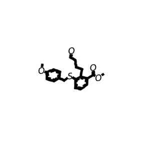 COC(=O)c1cccc(SCc2ccc(OC)cc2)c1CCCC=O